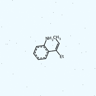 C/C=C(/CC)c1ccccc1N